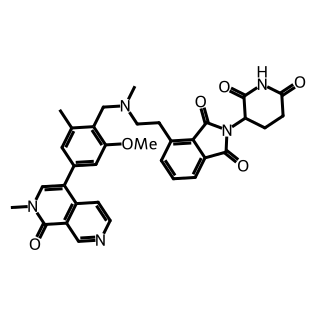 COc1cc(-c2cn(C)c(=O)c3cnccc23)cc(C)c1CN(C)CCc1cccc2c1C(=O)N(C1CCC(=O)NC1=O)C2=O